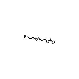 O=C(I)OCCSSCCBr